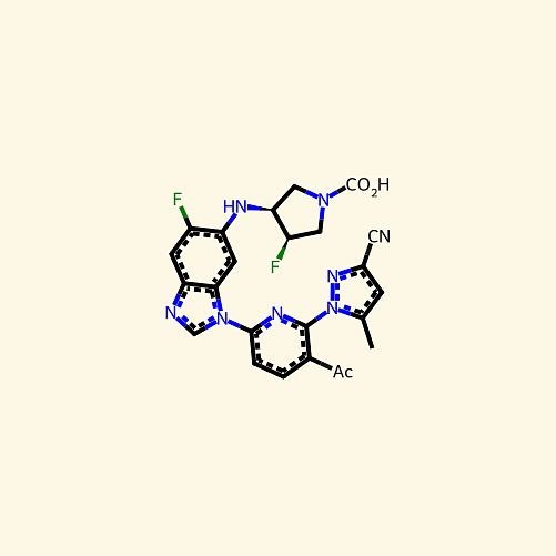 CC(=O)c1ccc(-n2cnc3cc(F)c(N[C@H]4CN(C(=O)O)C[C@H]4F)cc32)nc1-n1nc(C#N)cc1C